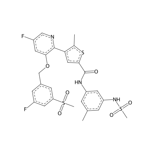 Cc1cc(NC(=O)c2cc(-c3ncc(F)cc3OCc3cc(F)cc(S(C)(=O)=O)c3)c(C)s2)cc(NS(C)(=O)=O)c1